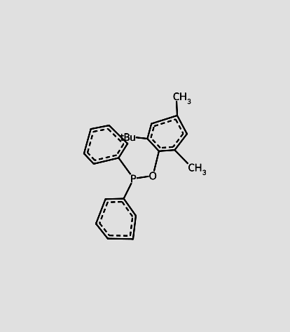 Cc1cc(C)c(OP(c2ccccc2)c2ccccc2)c(C(C)(C)C)c1